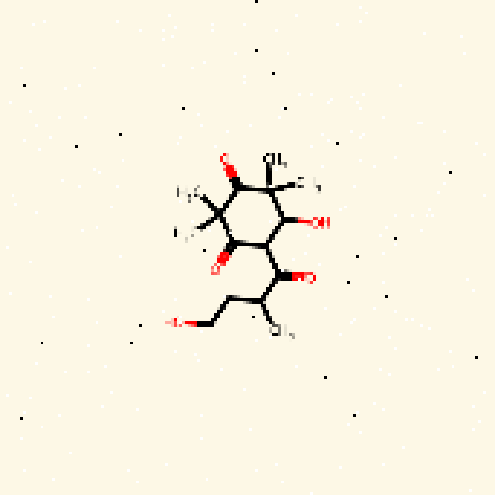 CC(CCO)C(=O)C1C(=O)C(C)(C)C(=O)C(C)(C)C1O